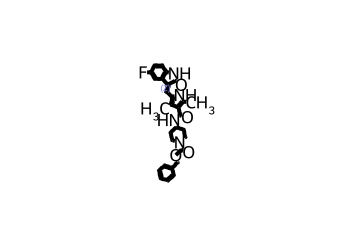 Cc1[nH]c(/C=C2\C(=O)Nc3ccc(F)cc32)c(C)c1C(=O)NC1CCN(C(=O)OCc2ccccc2)CC1